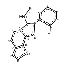 CCNc1c(-c2ccccc2C)nc2c3sccc3ccn12